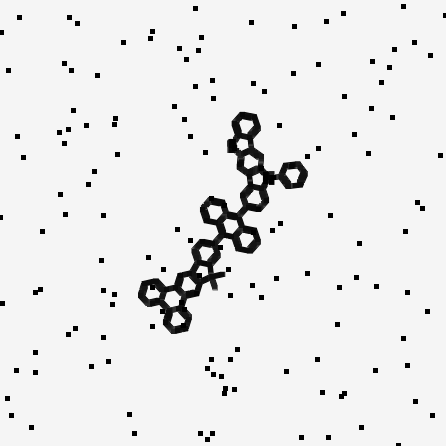 CC1(C)c2cc(-c3c4ccccc4c(-c4ccc5c(c4)c4cc6sc7ccccc7c6cc4n5-c4ccccc4)c4ccccc34)ccc2-c2cc3c4ccccc4c4ccccc4c3cc21